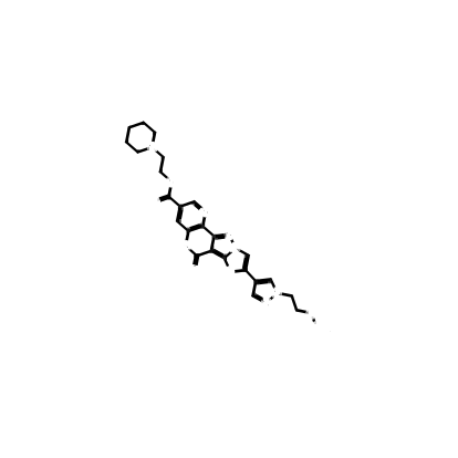 COCCn1cc(-c2cn3nc4c5ncc(C(=O)NCCN6CCCCC6)cc5[nH]c(=O)c4c3s2)cn1